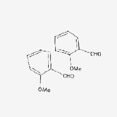 COc1ccccc1C=O.COc1ccccc1C=O